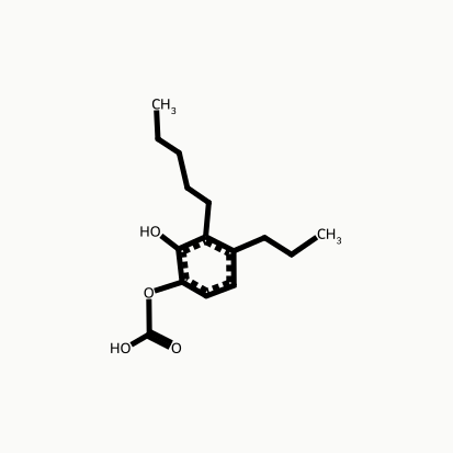 CCCCCc1c(CCC)ccc(OC(=O)O)c1O